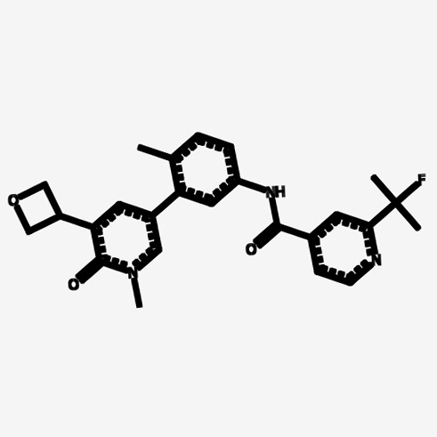 Cc1ccc(NC(=O)c2ccnc(C(C)(C)F)c2)cc1-c1cc(C2COC2)c(=O)n(C)c1